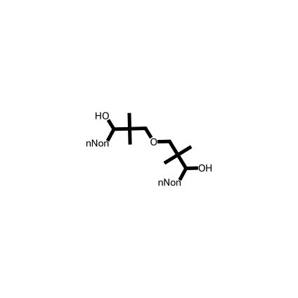 CCCCCCCCCC(O)C(C)(C)COCC(C)(C)C(O)CCCCCCCCC